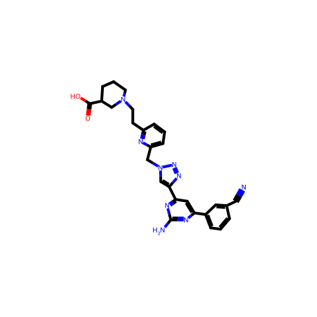 N#Cc1cccc(-c2cc(-c3cn(Cc4cccc(CCN5CCCC(C(=O)O)C5)n4)nn3)nc(N)n2)c1